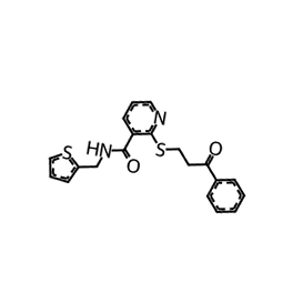 O=C(CCSc1ncccc1C(=O)NCc1cccs1)c1ccccc1